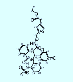 CCOC(=O)Cc1csc(CONC(=O)[C@@H]2c3ccccc3C(=O)N([C@H]3CCCC[C@@H]3NS(C)(=O)=O)[C@H]2c2ccc(Cl)cc2Cl)c1